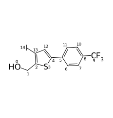 OCc1sc(-c2ccc(C(F)(F)F)cc2)cc1I